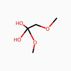 COCC(O)(O)OC